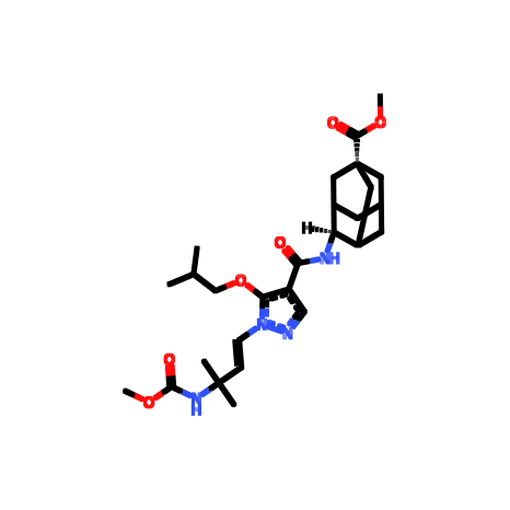 COC(=O)NC(C)(C)/C=C/n1ncc(C(=O)N[C@H]2C3CC4CC2C[C@](C(=O)OC)(C4)C3)c1OCC(C)C